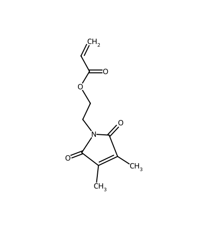 C=CC(=O)OCCN1C(=O)C(C)=C(C)C1=O